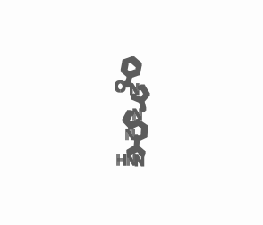 O=C(c1ccccc1)N1CCC(Cn2ccc3nc(-c4cn[nH]c4)ccc32)C1